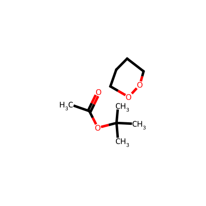 C1CCOOC1.CC(=O)OC(C)(C)C